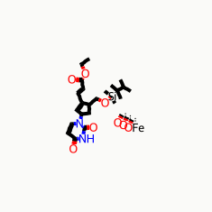 CCOC(=O)C=CC1=CC(n2ccc(=O)[nH]c2=O)CC1CO[Si](C)(C)C(C)(C)C(C)C.[C]=O.[C]=O.[C]=O.[Fe]